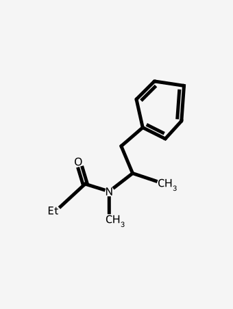 CCC(=O)N(C)C(C)Cc1ccccc1